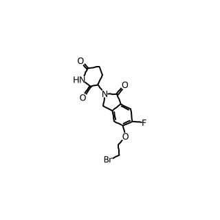 O=C1CCC(N2Cc3cc(OCCBr)c(F)cc3C2=O)C(=O)N1